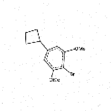 COc1cc(C2CCC2)cc(OC)c1Br